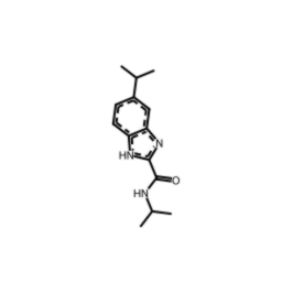 CC(C)NC(=O)c1nc2cc(C(C)C)ccc2[nH]1